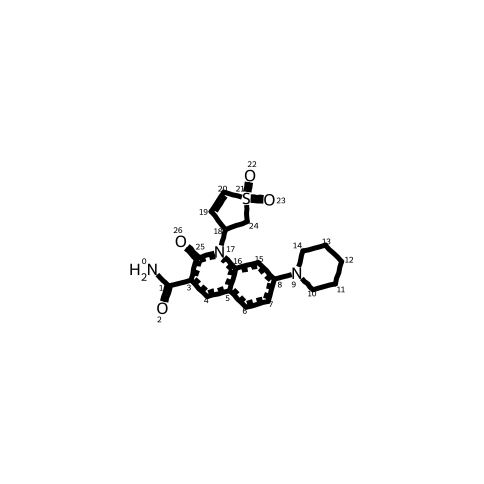 NC(=O)c1cc2ccc(N3CCCCC3)cc2n(C2C=CS(=O)(=O)C2)c1=O